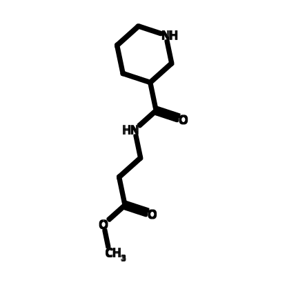 COC(=O)CCNC(=O)C1CCCNC1